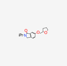 CC(C)N1Cc2ccc(OCC3CCCO3)cc2C1=O